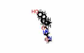 C[C@@]1(O)CC[C@H]2[C@H](CC[C@@H]3[C@@H]2CC[C@@]2(C)[C@H]3[C@@H]3C[C@@H]3[C@@H]2C(=O)Cn2cc(-c3ncco3)cn2)C1